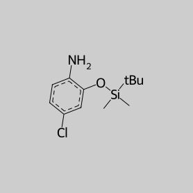 CC(C)(C)[Si](C)(C)Oc1cc(Cl)ccc1N